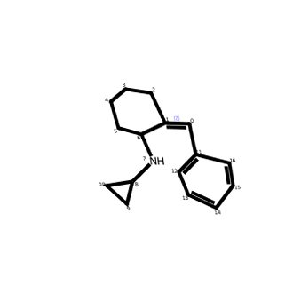 C(=C1\CCCCC1NC1CC1)/c1ccccc1